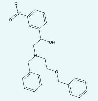 O=[N+]([O-])c1cccc(C(O)CN(CCOCc2ccccc2)Cc2ccccc2)c1